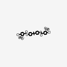 CC(C)(c1ccc(OC(=O)c2ccc(Cl)c([N+](=O)[O-])c2)cc1)c1ccc(OC(=O)c2ccc(Cl)c([N+](=O)[O-])c2)cc1